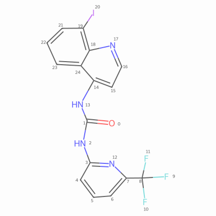 O=C(Nc1cccc(C(F)(F)F)n1)Nc1ccnc2c(I)cccc12